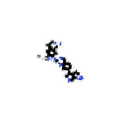 COc1cc2c(cc1Nc1ncc3ccc(-c4cncc5[nH]ccc45)cc3n1)CNCC2